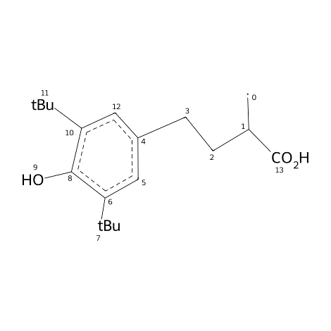 [CH2]C(CCc1cc(C(C)(C)C)c(O)c(C(C)(C)C)c1)C(=O)O